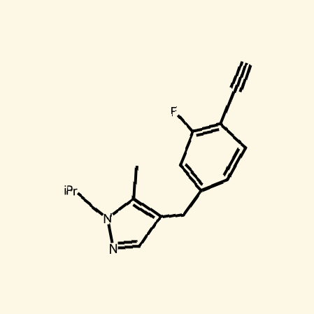 C#Cc1ccc(Cc2cnn(C(C)C)c2C)cc1F